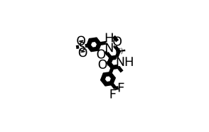 COC[C@@H](C)c1[nH]c(C)c(-c2cccc(C(F)F)c2)c(=O)c1C(=O)NCc1ccc(S(C)(=O)=O)cc1